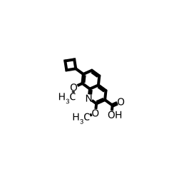 COc1nc2c(OC)c(C3CCC3)ccc2cc1C(=O)O